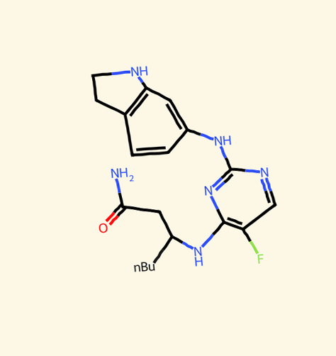 CCCCC(CC(N)=O)Nc1nc(Nc2ccc3c(c2)NCC3)ncc1F